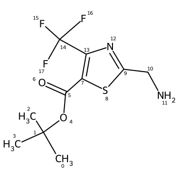 CC(C)(C)OC(=O)c1sc(CN)nc1C(F)(F)F